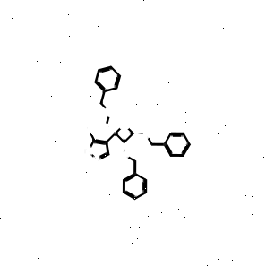 Nc1[nH]ncc1[C@@]1(COCc2ccccc2)O[C@@H](OCc2ccccc2)[C@H]1OCc1ccccc1